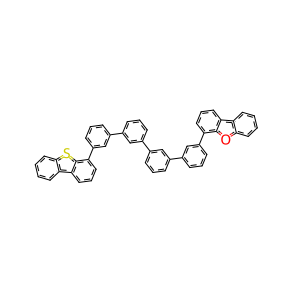 c1cc(-c2cccc(-c3cccc(-c4cccc5c4sc4ccccc45)c3)c2)cc(-c2cccc(-c3cccc4c3oc3ccccc34)c2)c1